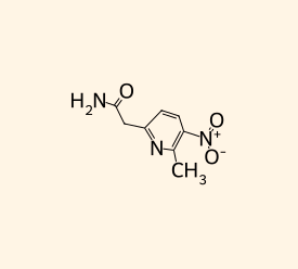 Cc1nc(CC(N)=O)ccc1[N+](=O)[O-]